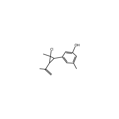 C=C(C)C1C(c2cc(C)cc(O)c2)C1(C)Cl